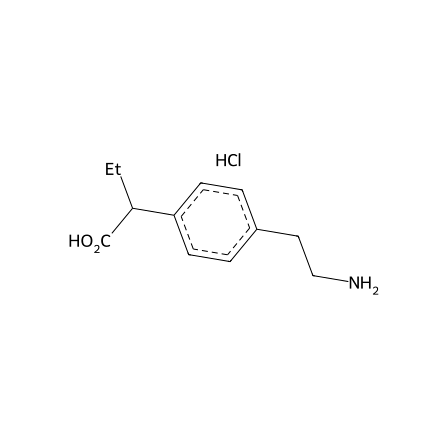 CCC(C(=O)O)c1ccc(CCN)cc1.Cl